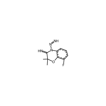 CC1(C)Oc2c(F)cccc2N(N=N)C1=N